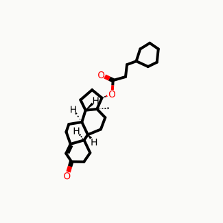 C[C@]12CC[C@H]3[C@@H](CCC4=CC(=O)CC[C@@H]43)[C@@H]1CC[C@@H]2OC(=O)CCC1CCCCC1